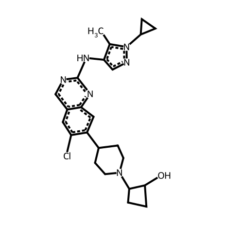 Cc1c(Nc2ncc3cc(Cl)c(C4CCN(C5CCC5O)CC4)cc3n2)cnn1C1CC1